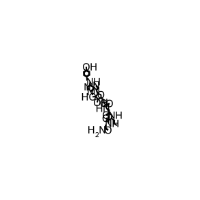 CCCC(NC(=O)CNC(=O)OCC1OC(n2cnc3c(NCc4ccc(O)cc4)ncnc32)C(O)C1O)C(=O)NCC(N)=O